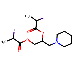 CC(I)C(=O)OCC(CN1CCCCC1)OC(=O)C(C)I